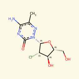 Cc1nn([C@@H]2O[C@H](CO)[C@@H](O)[C@@H]2Cl)c(=O)nc1N